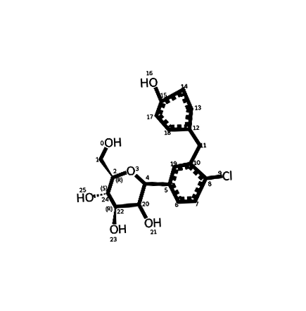 OC[C@H]1OC(c2ccc(Cl)c(Cc3ccc(O)cc3)c2)C(O)[C@@H](O)[C@@H]1O